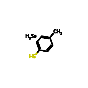 Cc1ccc(S)cc1.[SeH2]